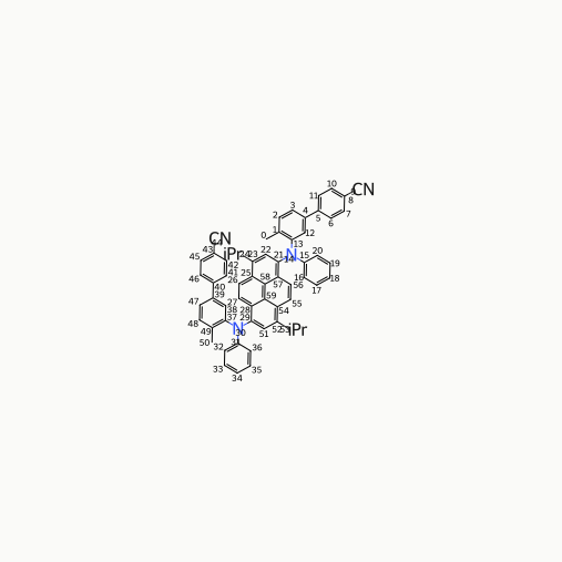 Cc1ccc(-c2ccc(C#N)cc2)cc1N(c1ccccc1)c1cc(C(C)C)c2ccc3c(N(c4ccccc4)c4cc(-c5ccc(C#N)cc5)ccc4C)cc(C(C)C)c4ccc1c2c43